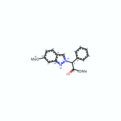 COC(=O)C(c1ccccc1)n1cc2ccc(OC)cc2n1